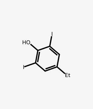 CCc1cc(I)c(O)c(I)c1